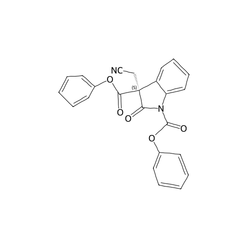 N#CC[C@@]1(C(=O)Oc2ccccc2)C(=O)N(C(=O)Oc2ccccc2)c2ccccc21